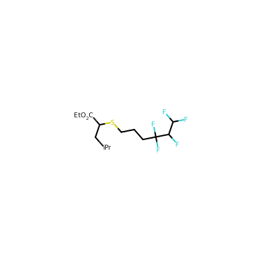 CCOC(=O)C(CC(C)C)SCCCC(F)(F)C(F)C(F)F